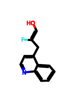 O/C=C(\F)Cc1ccnc2ccccc12